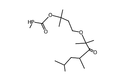 CPC(=O)OC(C)(C)CCOC(C)(C)C(=O)C(C)CC(C)C